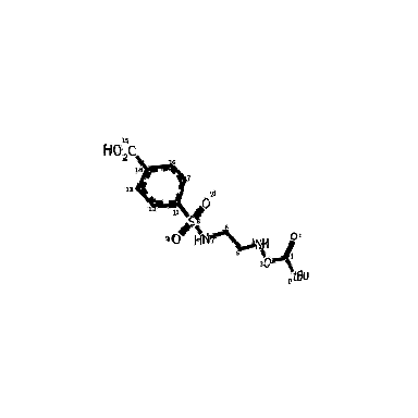 CC(C)(C)C(=O)ONCCNS(=O)(=O)c1ccc(C(=O)O)cc1